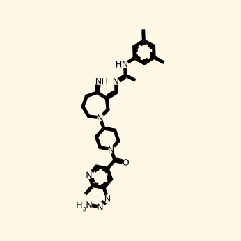 C/C(=N\C=C1\CN(C2CCN(C(=O)c3cnc(C)c(/N=N\N)c3)CC2)CCCC1=N)Nc1cc(C)cc(C)c1